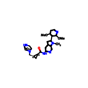 COc1ccnc(OC)c1-c1cc2cc(NC(=O)[C@H]3C[C@@H]3CN3CC4CCCC3CN4)ncc2n1C